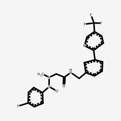 CN(CC(=O)NCc1cccc(-c2ccc(C(F)(F)F)cn2)c1)[S+]([O-])c1ccc(F)cc1